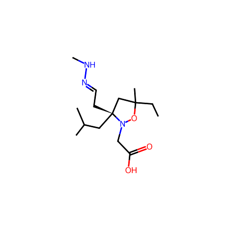 CCC1(C)C[C@@](C/C=N/NC)(CC(C)C)N(CC(=O)O)O1